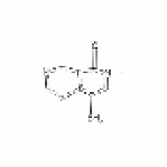 Bc1cn(C)c(=O)c2cnccc12